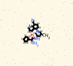 C[C@H]1C[C@@H](NC(=O)[C@H](N)c2ccccc2)CN(c2ccc(C#N)c3ncccc23)C1